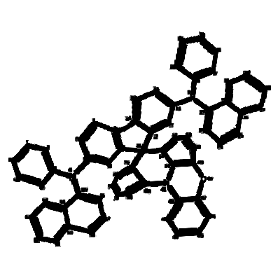 c1ccc(N(c2ccc3c(c2)C2(c4cc(N(c5ccccc5)c5cccc6ccccc56)ccc4-3)c3ccccc3N3c4ccccc4Oc4cccc2c43)c2cccc3ccccc23)cc1